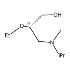 CCO[C@H](CO)CN(C)C(C)C